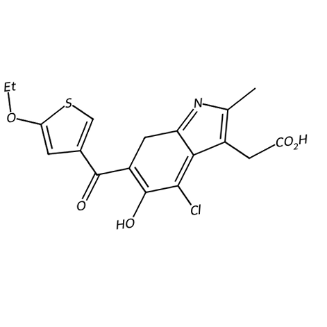 CCOc1cc(C(=O)C2=C(O)C(Cl)=C3C(=NC(C)=C3CC(=O)O)C2)cs1